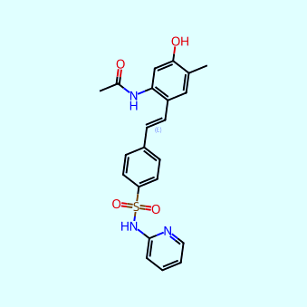 CC(=O)Nc1cc(O)c(C)cc1/C=C/c1ccc(S(=O)(=O)Nc2ccccn2)cc1